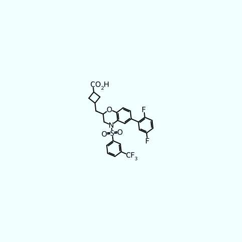 O=C(O)C1CC(CC2CN(S(=O)(=O)c3cccc(C(F)(F)F)c3)c3cc(-c4cc(F)ccc4F)ccc3O2)C1